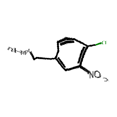 CCCCCCCCc1ccc(Cl)c([N+](=O)[O-])c1